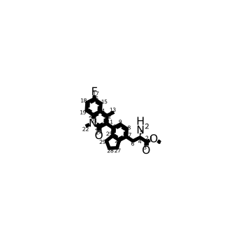 COC(=O)[C@@H](N)Cc1ccc(-c2c(C)c3cc(F)ccc3n(C)c2=O)c2c1CCC2